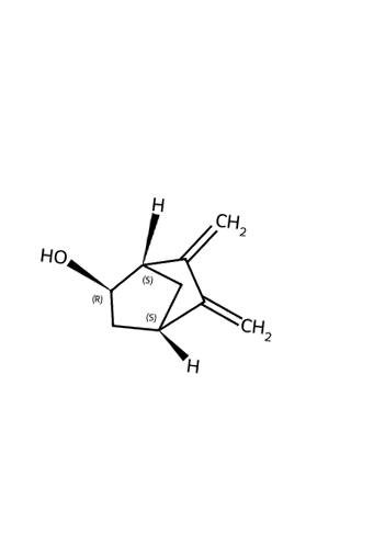 C=C1C(=C)[C@@H]2C[C@H]1C[C@H]2O